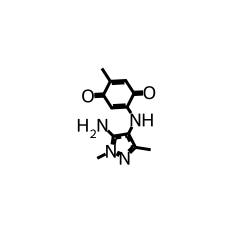 CC1=CC(=O)C(Nc2c(C)nn(C)c2N)=CC1=O